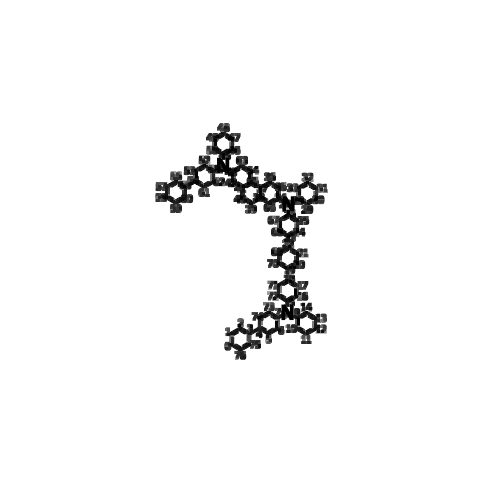 c1ccc(-c2ccc(N(c3ccccc3)c3ccc(-c4ccc(-c5ccc(N(c6ccccc6)c6ccc7c(ccc8cc(N(c9ccccc9)c9ccc(-c%10ccccc%10)cc9)ccc87)c6)cc5)cc4)cc3)cc2)cc1